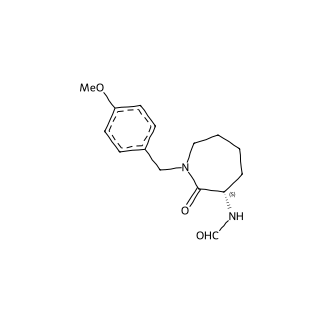 COc1ccc(CN2CCCC[C@H](NC=O)C2=O)cc1